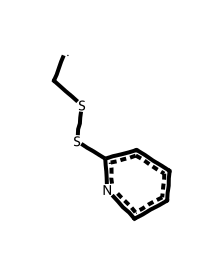 [CH2]CSSc1ccccn1